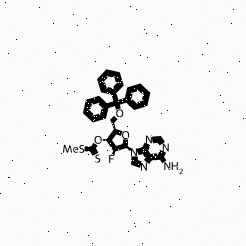 CSC(=S)O[C@H]1[C@H](F)[C@H](n2cnc3c(N)ncnc32)O[C@@H]1COC(c1ccccc1)(c1ccccc1)c1ccccc1